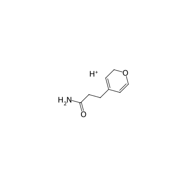 NC(=O)CCC1=CCOC=C1.[H+]